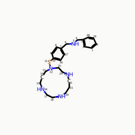 c1ccc(CNCc2ccc(SN3CCCNCCNCCCNCC3)cc2)cc1